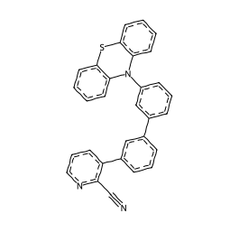 N#Cc1ncccc1-c1cccc(-c2cccc(N3c4ccccc4Sc4ccccc43)c2)c1